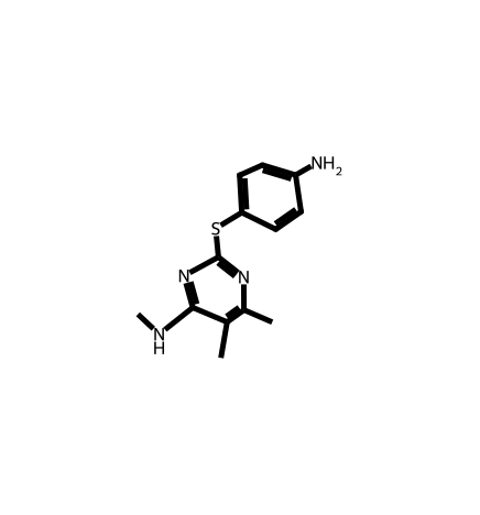 CNc1nc(Sc2ccc(N)cc2)nc(C)c1C